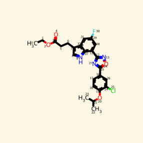 CCOC(=O)CCc1c[nH]c2c(-c3noc(-c4ccc(OC(C)C)c(Cl)c4)n3)cc(F)cc12